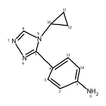 Nc1ccc(-c2nncn2C2CC2)cc1